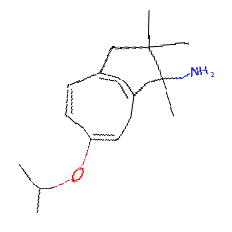 CC(C)Oc1ccc2c(c1)C(C)(N)C(C)(C)C2